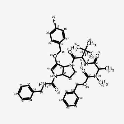 CC(C(=O)NC(C(=O)N1CCC2C1C(OCc1ccc(F)cc1)=CN2C(=O)NCc1ccccc1)C(C)(C)C)N(C)C(=O)OCc1ccccc1